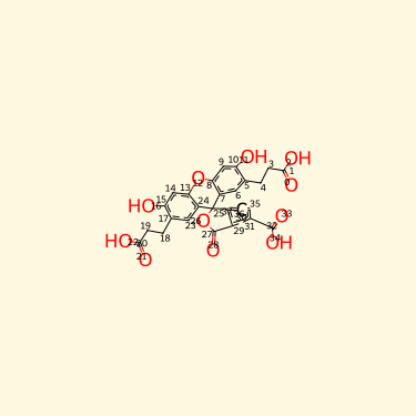 O=C(O)CCc1cc2c(cc1O)Oc1cc(O)c(CCC(=O)O)cc1C21OC(=O)c2cc(C(=O)O)ccc21